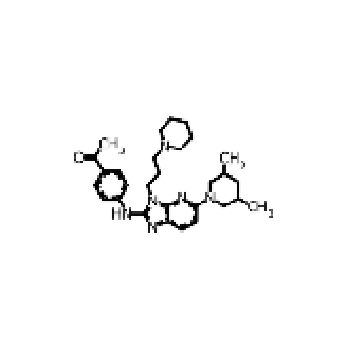 CC(=O)c1ccc(Nc2nc3ccc(N4CC(C)CC(C)C4)nc3n2CCCN2CCCCC2)cc1